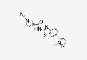 Cn1nccc1-c1ccc2nc(NC(=O)[C@H]3CCN(C#N)C3)sc2c1